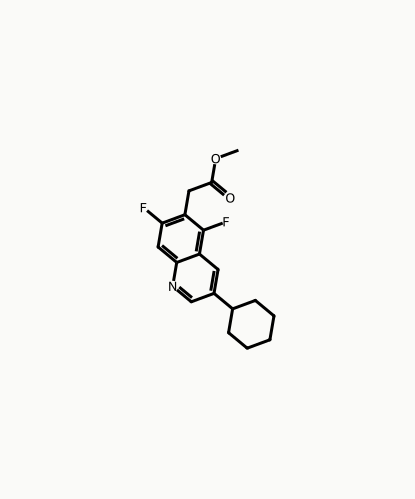 COC(=O)Cc1c(F)cc2ncc(C3CCCCC3)cc2c1F